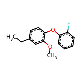 CCc1ccc(Oc2ccccc2F)c(OC)c1